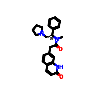 CN(C(=O)Cc1ccc2ccc(=O)[nH]c2c1)[C@H](CN1CCCC1)c1ccccc1